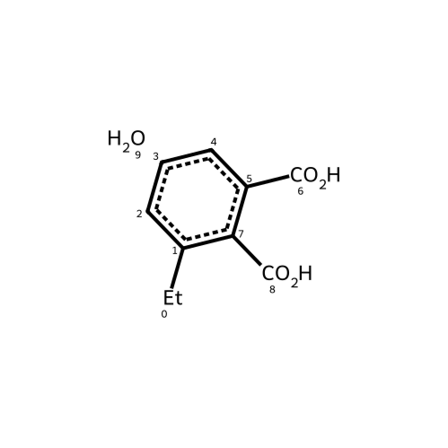 CCc1cccc(C(=O)O)c1C(=O)O.O